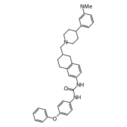 CNc1cccc(C2CCN(CC3CCc4cc(NC(=O)Nc5ccc(Oc6ccccc6)cc5)ccc4C3)CC2)c1